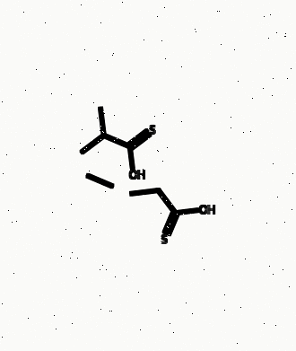 CC.CC(C)C(O)=S.CCC(O)=S